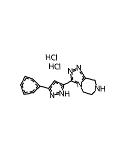 Cl.Cl.c1ccc(-c2cc(-c3nnc4n3CCNC4)[nH]n2)cc1